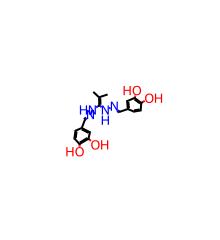 CC(C)=C(N/N=C/c1ccc(O)c(O)c1)N/N=C/c1ccc(O)c(O)c1